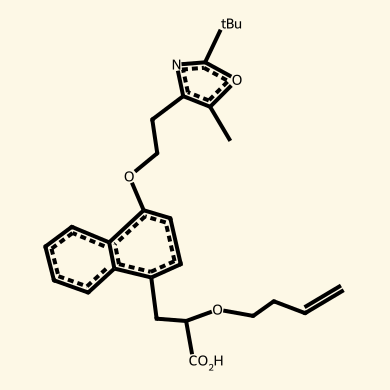 C=CCCOC(Cc1ccc(OCCc2nc(C(C)(C)C)oc2C)c2ccccc12)C(=O)O